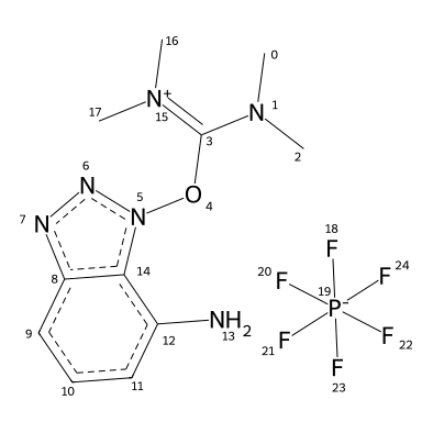 CN(C)C(On1nnc2cccc(N)c21)=[N+](C)C.F[P-](F)(F)(F)(F)F